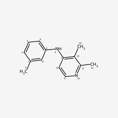 Cc1cccc(Nc2ccnc(C)c2C)c1